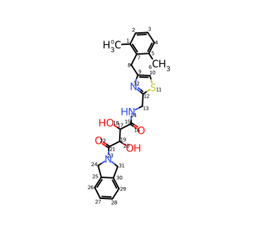 Cc1cccc(C)c1Cc1csc(CNC(=O)C(O)C(O)C(=O)N2Cc3ccccc3C2)n1